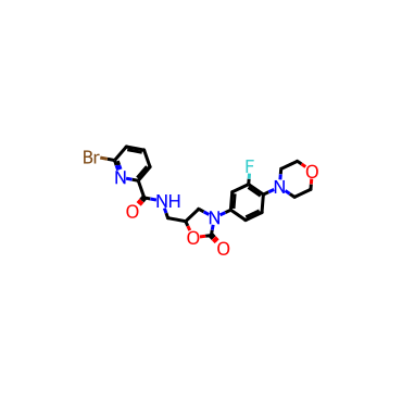 O=C(NCC1CN(c2ccc(N3CCOCC3)c(F)c2)C(=O)O1)c1cccc(Br)n1